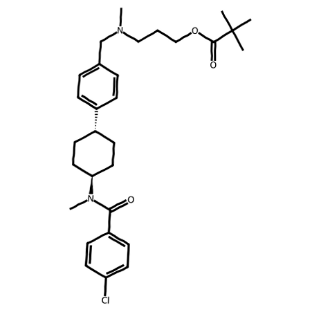 CN(CCCOC(=O)C(C)(C)C)Cc1ccc([C@H]2CC[C@H](N(C)C(=O)c3ccc(Cl)cc3)CC2)cc1